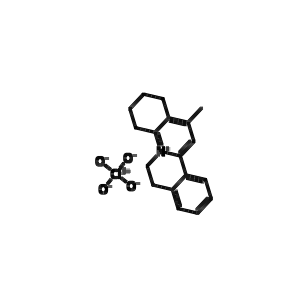 Cc1cc2[n+](c3c1CCCC3)CCc1ccccc1-2.[O-][Cl+3]([O-])([O-])[O-]